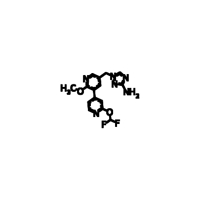 COc1ncc(Cn2cnc(N)n2)cc1-c1ccnc(OC(F)F)c1